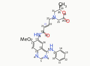 COc1cc2ncnc(Nc3ccccc3)c2cc1NC(=O)/C=C/CN1CC(=O)O[C@H](C)C1